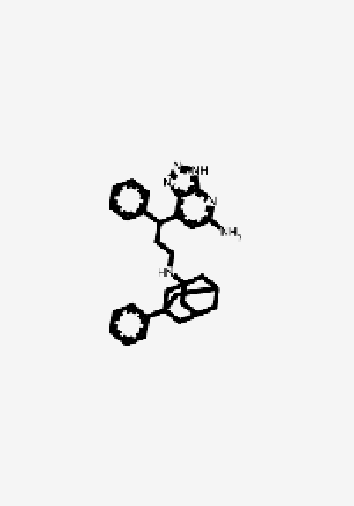 Nc1cc(C(CCNC23CC4CC(C2)CC(c2ccccc2)(C4)C3)c2ccccc2)c2nn[nH]c2n1